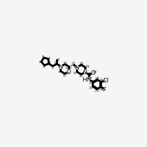 CC(CC1CCCC1)N1CCO[C@@H](CN2CCN(C(=O)Nc3ccc(F)c(Cl)c3)CC2)C1